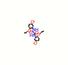 C=CCOc1ccc(OC)cc1NC(=O)C(=O)Nc1cc(OC)ccc1OCC=C